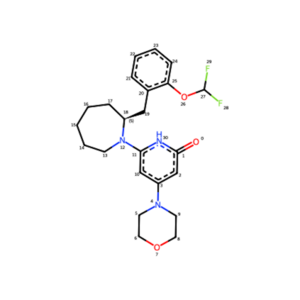 O=c1cc(N2CCOCC2)cc(N2CCCCC[C@H]2Cc2ccccc2OC(F)F)[nH]1